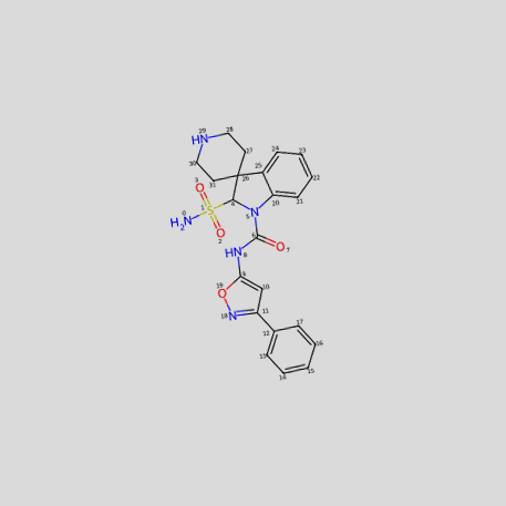 NS(=O)(=O)C1N(C(=O)Nc2cc(-c3ccccc3)no2)c2ccccc2C12CCNCC2